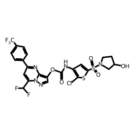 O=C(Nc1cc(S(=O)(=O)N2CCC(O)C2)sc1Cl)Oc1cnn2c(C(F)F)cc(-c3ccc(C(F)(F)F)cc3)nc12